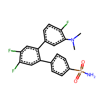 CN(C)c1cc(-c2cc(F)c(F)cc2-c2ccc(S(N)(=O)=O)cc2)ccc1F